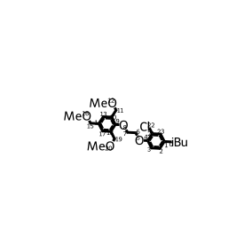 CCC(C)c1ccc(OCCOc2c(COC)cc(COC)cc2COC)c(Cl)c1